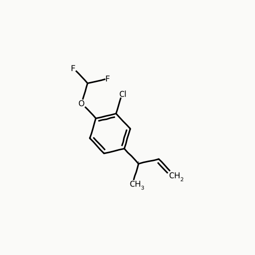 C=C[C](C)c1ccc(OC(F)F)c(Cl)c1